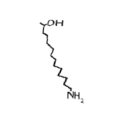 CC(O)CCCCCCCCCCCCN